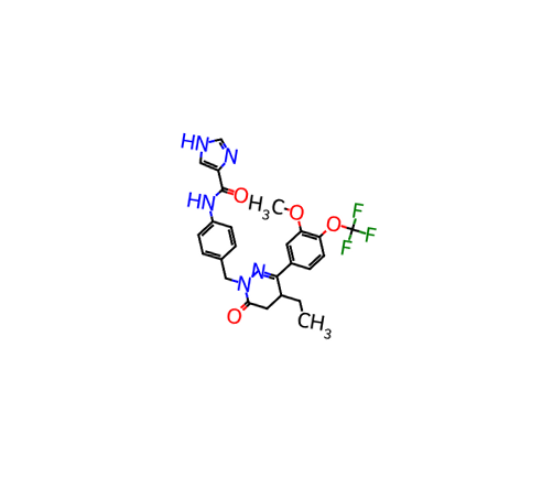 CCC1CC(=O)N(Cc2ccc(NC(=O)c3c[nH]cn3)cc2)N=C1c1ccc(OC(F)(F)F)c(OC)c1